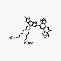 CCCCCCCCCCCCCCCC[Si]1(CCCCCCCCCCCCCCCC)c2cc(C)sc2-c2sc(-c3cc4c(cc(C)c5nonc54)c4nonc34)cc21